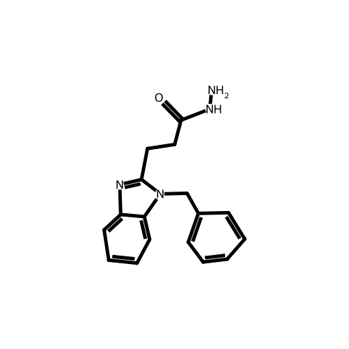 NNC(=O)CCc1nc2ccccc2n1Cc1ccccc1